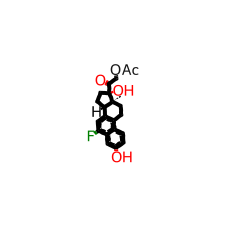 CC(=O)OCC(=O)[C@@]1(O)CC[C@H]2c3cc(F)c4cc(O)ccc4c3CC[C@@]21C